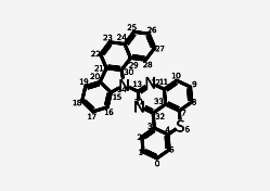 c1ccc2c(c1)Sc1cccc3nc(-n4c5ccccc5c5ccc6ccccc6c54)nc-2c13